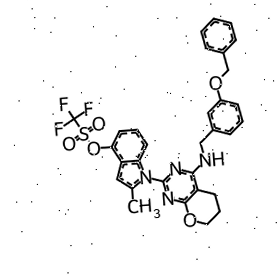 Cc1cc2c(OS(=O)(=O)C(F)(F)F)cccc2n1-c1nc(NCc2cccc(OCc3ccccc3)c2)c2c(n1)OCCC2